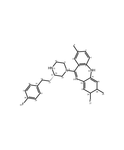 Cc1ccc2c(c1)C(N1CCN[C@@H](CCc3ccc(F)cc3)C1)=NC1=CC(F)C(C)C=C1N2